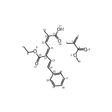 C=C(C)C(=O)OC.CCOC(=O)C(C=Cc1ccccc1)=CC=C(C)C(=O)O